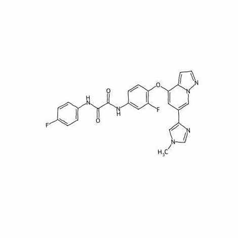 Cn1cnc(-c2cc(Oc3ccc(NC(=O)C(=O)Nc4ccc(F)cc4)cc3F)c3ccnn3c2)c1